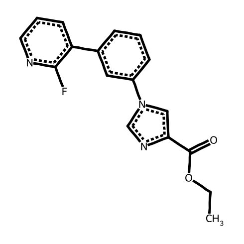 CCOC(=O)c1cn(-c2cccc(-c3cccnc3F)c2)cn1